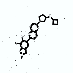 Cn1cc2cc(-c3ccc4nc(N5CCC(NC6CCC6)C5)ccc4n3)c(O)c(F)c2n1